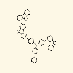 CC1(C)c2ccc(-c3ccc(N(c4ccc(-c5ccccc5)cc4)c4ccc(-c5cccc6oc7ccccc7c56)cc4)cc3)cc2-c2ccc(-c3cccc4c3oc3ccccc34)cc21